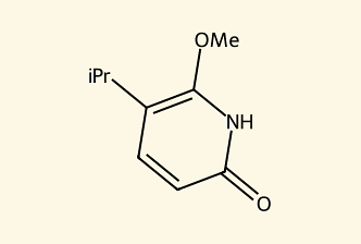 COc1[nH]c(=O)ccc1C(C)C